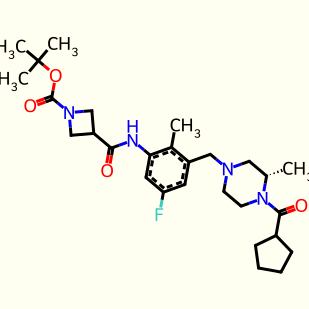 Cc1c(CN2CCN(C(=O)C3CCCC3)[C@@H](C)C2)cc(F)cc1NC(=O)C1CN(C(=O)OC(C)(C)C)C1